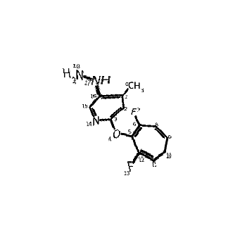 Cc1cc(OC2=C(F)C=CCC=C2F)ncc1NN